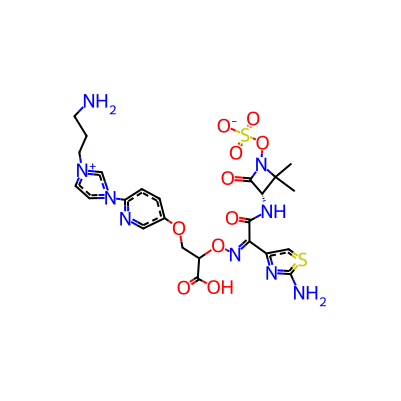 CC1(C)[C@H](NC(=O)/C(=N\OC(COc2ccc(-n3cc[n+](CCCN)c3)nc2)C(=O)O)c2csc(N)n2)C(=O)N1OS(=O)(=O)[O-]